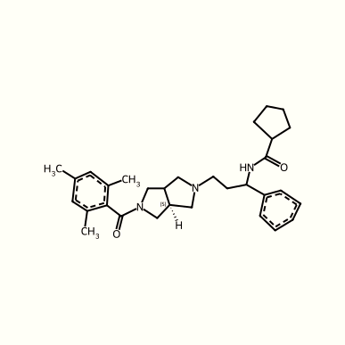 Cc1cc(C)c(C(=O)N2CC3CN(CCC(NC(=O)C4CCCC4)c4ccccc4)C[C@H]3C2)c(C)c1